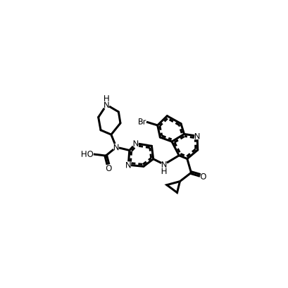 O=C(c1cnc2ccc(Br)cc2c1Nc1cnc(N(C(=O)O)C2CCNCC2)nc1)C1CC1